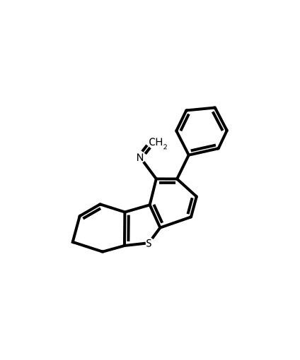 C=Nc1c(-c2ccccc2)ccc2sc3c(c12)C=CCC3